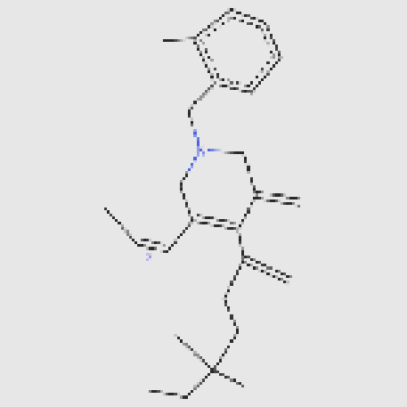 C=C(CCC(C)(C)CC)C1=C(/C=C\C)CN(Cc2ccccc2C)CC1=C